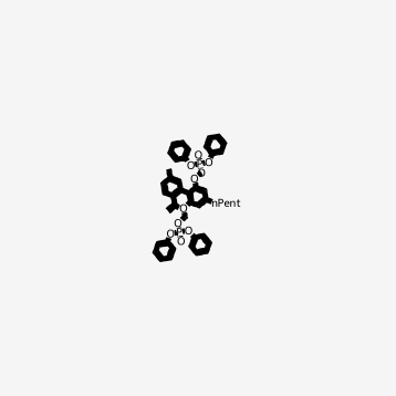 C=C(C)c1ccc(C)cc1-c1c(OCOP(=O)(Oc2ccccc2)Oc2ccccc2)cc(CCCCC)cc1OOP(=O)(Oc1ccccc1)Oc1ccccc1